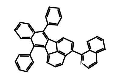 c1ccc(-c2c3c(c(-c4ccccc4)c4ccccc24)-c2ccc(-c4nccc5ccccc45)c4cccc-3c24)cc1